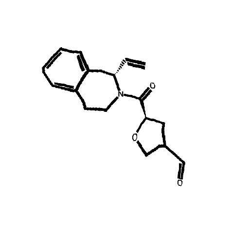 C=C[C@H]1c2ccccc2CCN1C(=O)[C@H]1CC(C=O)CO1